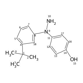 CC(C)(C)c1cccc(N(N)c2ccc(O)cc2)c1